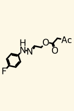 CC(=O)CC(=O)OCC=NNc1ccc(F)cc1